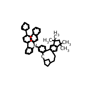 CC1(C)CC(C)(C)c2cc3c(cc21)CCC1CCC(Cc2cc(N(c4ccc5ccccc5c4)c4ccccc4-c4ccc(-c5ccccc5)cc4)ccc2-3)C1